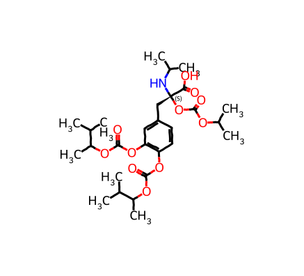 CC(C)N[C@@](Cc1ccc(OC(=O)OC(C)C(C)C)c(OC(=O)OC(C)C(C)C)c1)(OC(=O)OC(C)C)C(=O)O